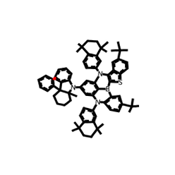 CC(C)(C)c1ccc2c(c1)B1c3sc4ccc(C(C)(C)C)cc4c3N(c3ccc4c(c3)C(C)(C)CCC4(C)C)c3cc(N4c5ccccc5C5(c6ccccc6)CCCCC45C)cc(c31)N2c1ccc2c(c1)C(C)(C)CCC2(C)C